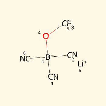 N#C[B-](C#N)(C#N)OC(F)(F)F.[Li+]